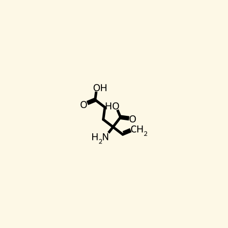 C=CC(N)(CCC(=O)O)C(=O)O